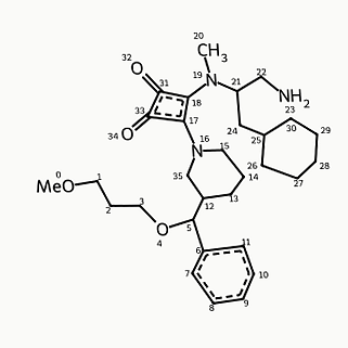 COCCCOC(c1ccccc1)C1CCCN(c2c(N(C)C(CN)CC3CCCCC3)c(=O)c2=O)C1